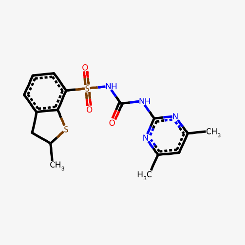 Cc1cc(C)nc(NC(=O)NS(=O)(=O)c2cccc3c2SC(C)C3)n1